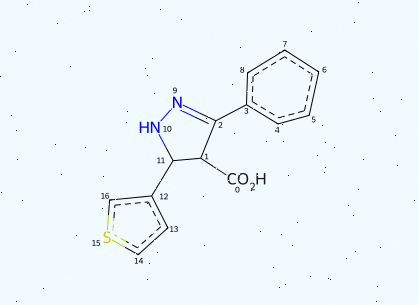 O=C(O)C1C(c2ccccc2)=NNC1c1ccsc1